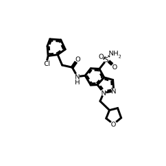 NS(=O)(=O)c1cc(NC(=O)Cc2ccccc2Cl)cc2c1cnn2CC1CCOC1